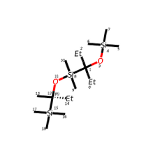 CCC(CC)(O[Si](C)(C)C)[Si](C)(C)O[C@@](C)(CC)[Si](C)(C)C